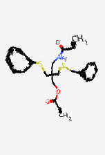 C=CC(=O)NCC(COC(=O)C=C)(CSc1ccccc1)CSc1ccccc1